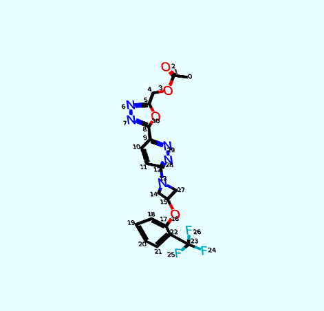 CC(=O)OCc1nnc(-c2ccc(N3CC(Oc4ccccc4C(F)(F)F)C3)nn2)o1